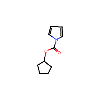 O=C(OC1CCCC1)n1cccc1